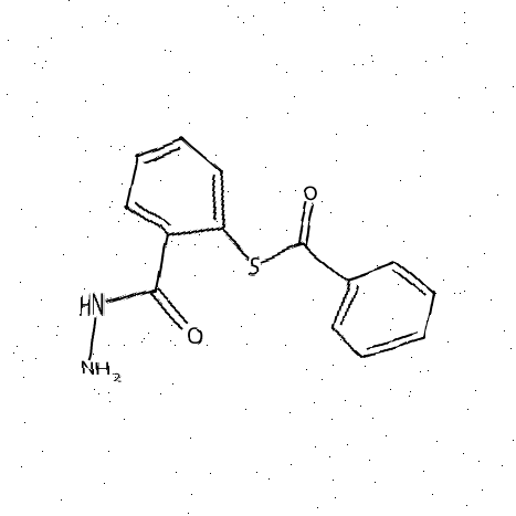 NNC(=O)c1ccccc1SC(=O)c1ccccc1